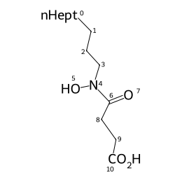 CCCCCCCCCCN(O)C(=O)CCC(=O)O